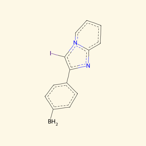 Bc1ccc(-c2nc3ccccn3c2I)cc1